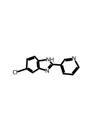 Clc1ccc2[nH]c(-c3cccnc3)nc2c1